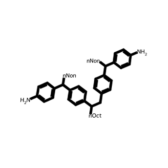 CCCCCCCCCC(c1ccc(N)cc1)c1ccc(CC(CCCCCCCC)c2ccc(C(CCCCCCCCC)c3ccc(N)cc3)cc2)cc1